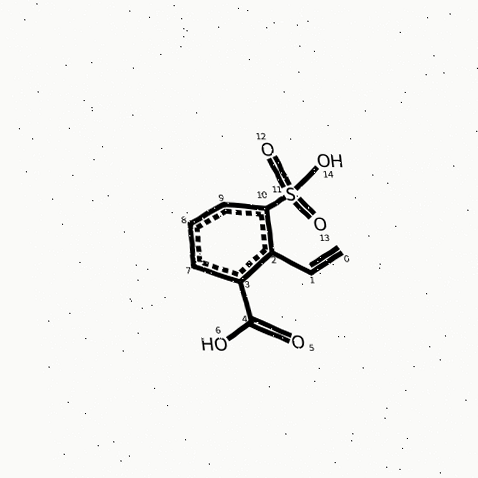 C=Cc1c(C(=O)O)cccc1S(=O)(=O)O